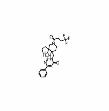 C[C@H](CC(F)(F)F)C(=O)N1CCC(N)(Cn2cnc(-c3ccccc3)cc2=O)C2(CCCC2)C1